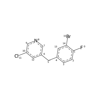 Fc1ccc([CH]c2cncc(Cl)c2)cc1Br